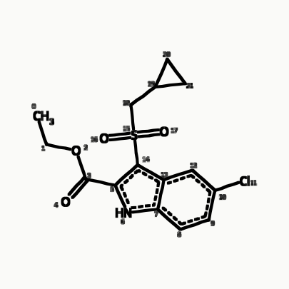 CCOC(=O)c1[nH]c2ccc(Cl)cc2c1S(=O)(=O)CC1CC1